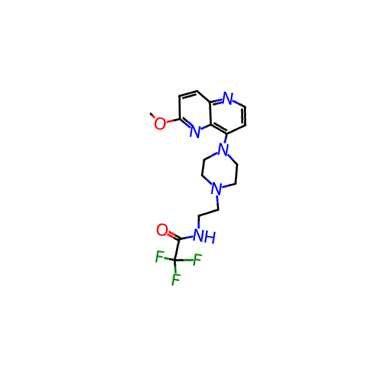 COc1ccc2nccc(N3CCN(CCNC(=O)C(F)(F)F)CC3)c2n1